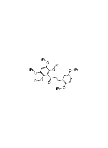 CC(C)Oc1ccc(OC(C)C)c(C=CC(=O)c2c(OC(C)C)c(OC(C)C)cc(OC(C)C)c2OC(C)C)c1